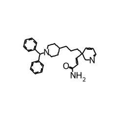 NC(=O)C=CC1(CCCC2CCN(C(c3ccccc3)c3ccccc3)CC2)C=CC=NC1